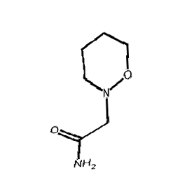 NC(=O)CN1CCCCO1